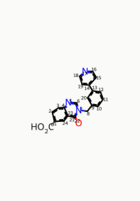 O=C(O)c1ccc2ncn(Cc3cccc(-c4ccncc4)c3)c(=O)c2c1